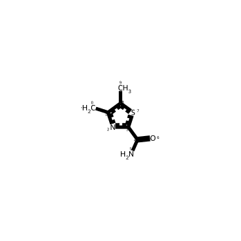 [CH2]c1nc(C(N)=O)sc1C